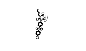 CCCCn1c(=O)[nH]c(=O)n(-c2ccc(S(=O)(=O)c3ccc(Cl)cc3)cc2)c1=O